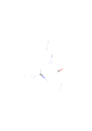 CCCCN(SC(=N)N)C(=O)OCC